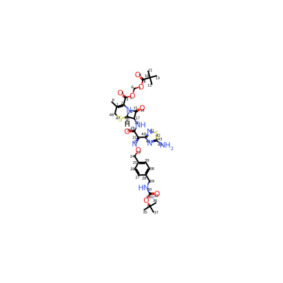 CC1=C(C(=O)OCOC(=O)C(C)(C)C)N2C(=O)C(NC(=O)/C(=N/OCc3ccc(CNC(=O)OC(C)(C)C)cc3)c3nsc(N)n3)[C@H]2SC1